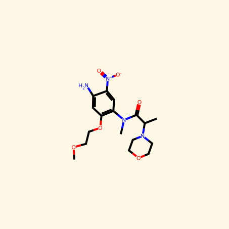 COCCOc1cc(N)c([N+](=O)[O-])cc1N(C)C(=O)C(C)N1CCOCC1